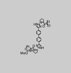 CCN(CC)C(=O)[C@@H]1CCCN1c1nc(-c2ccc(-c3ccc(-c4c[nH]c([C@@H]5CCCN5C(=O)[C@@H](NC(=O)OC)C(C)C)n4)cc3)cc2)c[nH]1